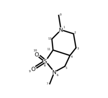 CN1CCC2CN(C)S(=O)(=O)C2C1